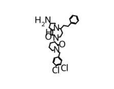 N[C@@H]1C[C@H]2C(=O)N([C@H]3CCCN(Cc4ccc(Cl)c(Cl)c4)C3=O)CCC(CCc3ccccc3)N2C1